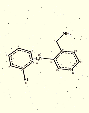 CCc1ccccn1.NCc1ccncc1N